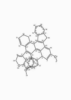 COC1=CC(c2ccc(OC)cc2)C2=C3C4=C(C5=CCOc6cccc4c65)C4=C(CCC=C4)C3C3=C(Cc4ccccc43)C2=C1